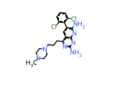 CN1CCN(CCCc2nc(N)nc3nc(N)c(-c4c(Cl)cccc4Cl)cc23)CC1